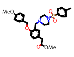 COC(=O)Cc1ccc(OCc2ccc(OC)cc2)c(CN2CCN(S(=O)(=O)c3ccc(C)cc3)CC2)c1